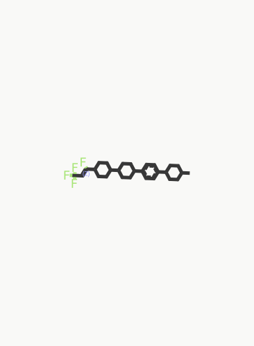 CC1CCC(c2ccc(C3CCC(C4CCC(/C(F)=C/C(F)(F)F)CC4)CC3)cc2)CC1